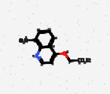 CCOC(=O)COc1ccnc2c([N+](=O)[O-])cccc12